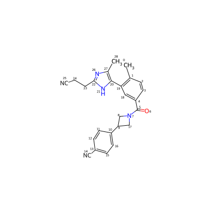 Cc1ccc(C(=O)N2CC(c3ccc(C#N)cc3)C2)cc1-c1[nH]c(CCC#N)nc1C